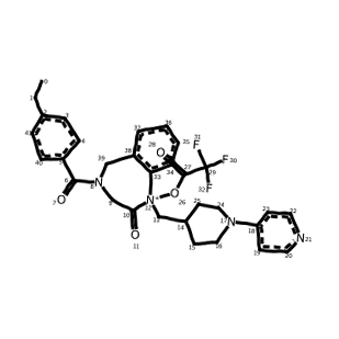 CCc1ccc(C(=O)N2CC(=O)[N+](CC3CCN(c4ccncc4)CC3)(OC(=O)C(F)(F)F)c3ccccc3C2)cc1